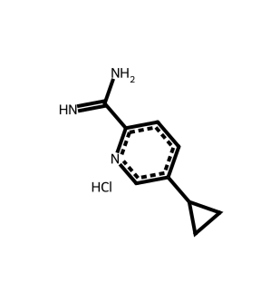 Cl.N=C(N)c1ccc(C2CC2)cn1